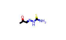 CC(=O)C=NNC(N)=S